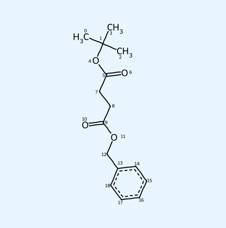 CC(C)(C)OC(=O)CCC(=O)OCc1ccccc1